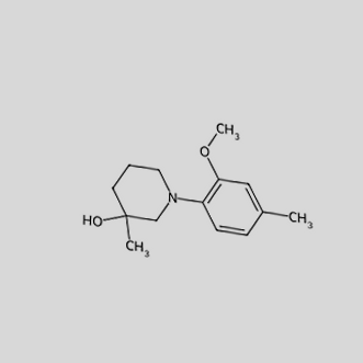 COc1cc(C)ccc1N1CCCC(C)(O)C1